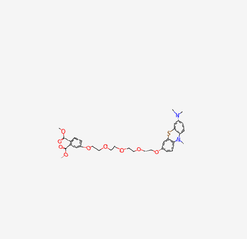 COC(=O)c1ccc(OCCOCCOCCOCCOc2ccc3c(c2)Sc2cc(N(C)C)ccc2N3C)cc1C(=O)OC